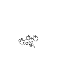 CC1CON=C(c2cnn(-c3ccccn3)c2S(N)(=O)=O)O1